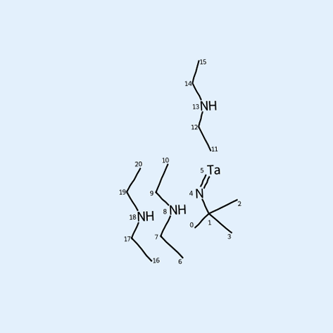 CC(C)(C)[N]=[Ta].CCNCC.CCNCC.CCNCC